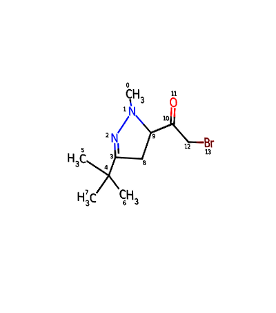 CN1N=C(C(C)(C)C)CC1C(=O)CBr